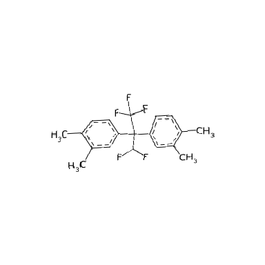 Cc1ccc(C(c2ccc(C)c(C)c2)(C(F)F)C(F)(F)F)cc1C